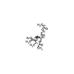 C=CC(=O)OCC(CC)CCCC.C=CC(=O)OCCCC.C=CC(=O)OCCO.C=COC(C)=O